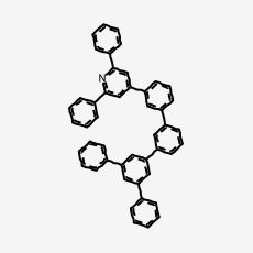 c1ccc(-c2cc(-c3ccccc3)cc(-c3cccc(-c4cccc(-c5cc(-c6ccccc6)nc(-c6ccccc6)c5)c4)c3)c2)cc1